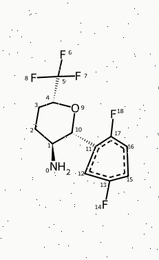 N[C@H]1CC[C@H](C(F)(F)F)O[C@@H]1c1cc(F)ccc1F